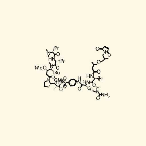 CC[C@H](C)[C@@H]([C@@H](CC(=O)N1CCC[C@H]1[C@H](OC)[C@@H](C)C(=O)NS(=O)(=O)c1ccc(NC(=O)[C@H](CCCNC(N)=O)NC(=O)[C@@H](NC(=O)CC(C)COCC(C)CN2C(=O)C=CC2=O)C(C)C)cc1)OC)N(C)C(=O)[C@@H](NC(=O)[C@H](C(C)C)N(C)C)C(C)C